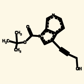 CC(C)(C)OC(=O)n1cc(C#CCO)c2ccncc21